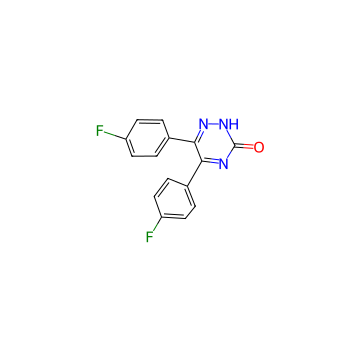 O=c1nc(-c2ccc(F)cc2)c(-c2ccc(F)cc2)n[nH]1